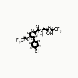 O=C(NCc1nc(C(F)(F)F)no1)c1ncc(OCC(F)(F)F)c(-c2ccc(Cl)cc2)n1